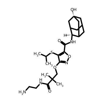 CC(C)Sc1c(OCC(C)(C)C(=O)NCCN)noc1C(=O)N[C@H]1C2CC3CC1C[C@](O)(C3)C2